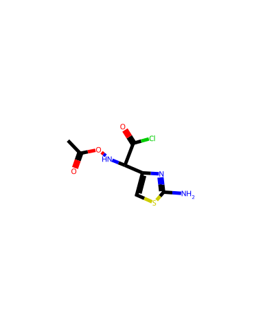 CC(=O)ONC(C(=O)Cl)c1csc(N)n1